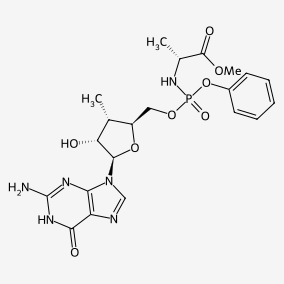 COC(=O)[C@@H](C)NP(=O)(OC[C@H]1O[C@@H](n2cnc3c(=O)[nH]c(N)nc32)[C@H](O)[C@@H]1C)Oc1ccccc1